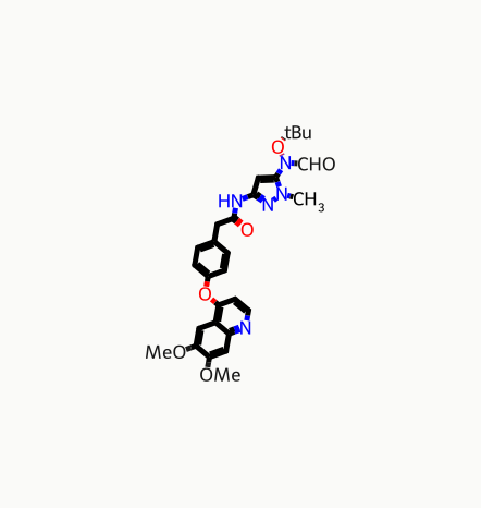 COc1cc2nccc(Oc3ccc(CC(=O)Nc4cc(N(C=O)OC(C)(C)C)n(C)n4)cc3)c2cc1OC